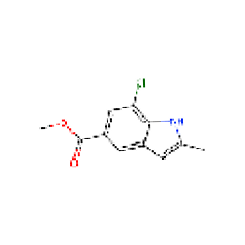 COC(=O)c1cc(Cl)c2[nH]c(C)cc2c1